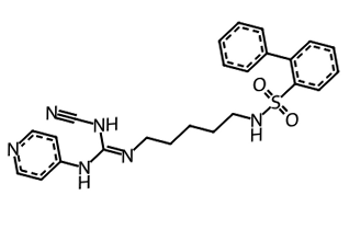 N#CN/C(=N\CCCCCNS(=O)(=O)c1ccccc1-c1ccccc1)Nc1ccncc1